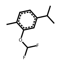 Cc1ccc(C(C)C)cc1OC(F)F